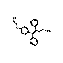 NCC/C(=C(\c1ccccc1)c1ccc(OCCO)cc1)c1ccccc1